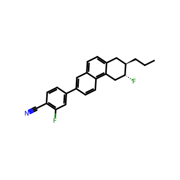 CCC[C@@H]1Cc2ccc3cc(-c4ccc(C#N)c(F)c4)ccc3c2C[C@H]1F